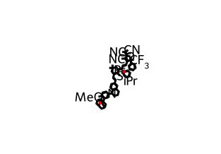 COc1ccc(N2CCCc3cc(/C=C/C4=C(Sc5c(C(C)C)cccc5C(C)C)C(=C/C=C/C5=C(C#N)C(=C(C#N)C#N)OC5(c5ccccc5)C(F)(F)F)/CC(C)(C)C4)ccc32)cc1C12CC3CC(CC(C3)C1)C2